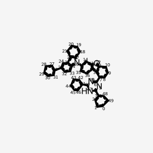 c1ccc(C2=NC(c3cccc4oc5cc(-n6c7ccccc7c7cc(-c8ccccc8)ccc76)ccc5c34)=NC(c3ccccc3)N2)cc1